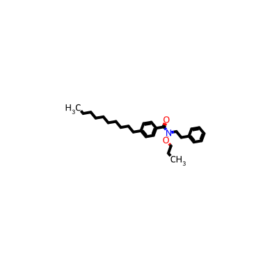 CCCCCCCCCCc1ccc(C(=O)N(CCc2ccccc2)OCCC)cc1